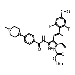 C=Cc1c(/C=C(\C)c2c(F)cc(C=O)cc2F)c(NC(=O)c2ccc(N3CCN(C)CC3)cc2)nn1C(=O)OC(C)(C)C